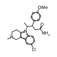 COc1ccc(C(CC(N)=O)C(C)n2c3c(c4cc(Cl)ccc42)CN(C)CC3)cc1